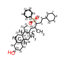 C[C@H](C(CCC1CCCCC1)S(=O)(=O)c1ccccc1)[C@H]1CCC2[C@@H]3CCC4C[C@@H](O)CC[C@]4(C)[C@H]3CC[C@@]21C